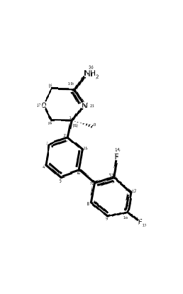 C[C@]1(c2cccc(-c3ccc(F)cc3F)c2)COCC(N)=N1